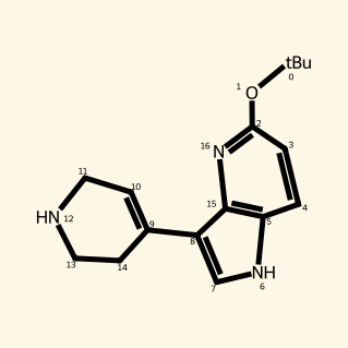 CC(C)(C)Oc1ccc2[nH]cc(C3=CCNCC3)c2n1